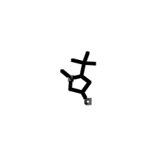 CN1CC(Cl)CC1C(C)(C)C